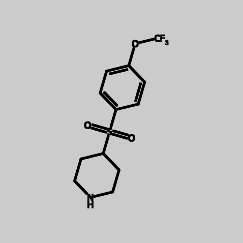 O=S(=O)(c1ccc(OC(F)(F)F)cc1)C1CCNCC1